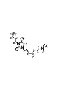 CC(=O)N(C)CCCC(C)CSCN1CC(=O)N(CCCC(C)C)C1=O